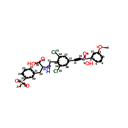 COc1cccc(P(=O)(O)C#Cc2cc(Cl)c(CNC(Cc3cccc(S(C)(=O)=O)c3)C(=O)O)c(Cl)c2)c1